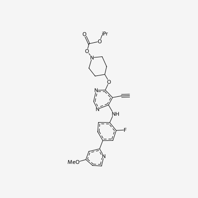 C#Cc1c(Nc2ccc(-c3cc(OC)ccn3)cc2F)ncnc1OC1CCN(OC(=O)OC(C)C)CC1